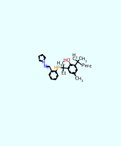 CCCC(C)C(C)(C)c1cc(C)cc(C(C)(CC)Pc2ccccc2/C=N/n2cccc2)c1O